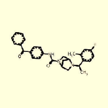 Cc1cc(F)ccc1C(C)N1CC2CC1CN2C(=O)Nc1ccc(C(=O)c2ccccc2)cc1